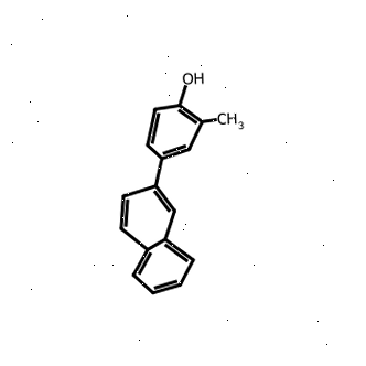 Cc1cc(-c2ccc3ccccc3c2)ccc1O